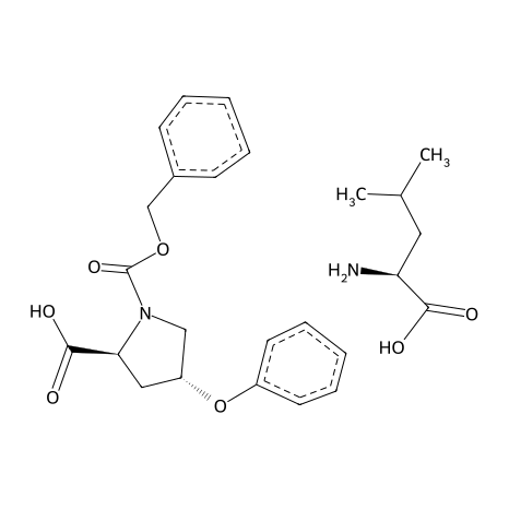 CC(C)C[C@H](N)C(=O)O.O=C(O)[C@@H]1C[C@@H](Oc2ccccc2)CN1C(=O)OCc1ccccc1